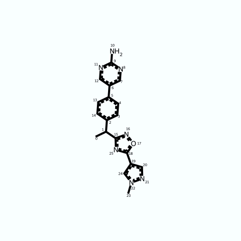 CC(c1ccc(-c2cnc(N)nc2)cc1)c1noc(-c2cnn(C)c2)n1